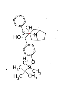 C[C@@H]([C@@H](O)c1ccc(O[Si](C)(C)C(C)(C)C)cc1)N1C2CCC1CC(Sc1ccccc1)C2